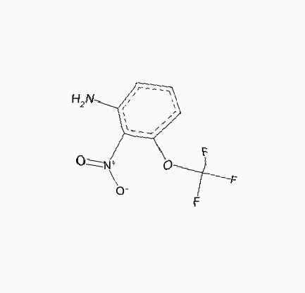 Nc1cccc(OC(F)(F)F)c1[N+](=O)[O-]